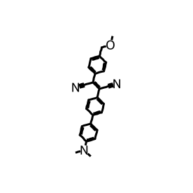 COCc1ccc(/C(C#N)=C(\C#N)c2ccc(-c3ccc(N(C)C)cc3)cc2)cc1